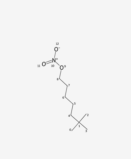 CC(C)(C)CCCCCO[N+](=O)[O-]